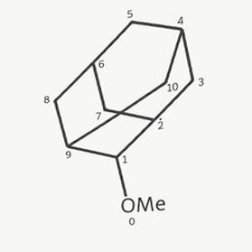 COC1[C]2CC3CC(C2)CC1C3